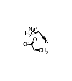 C=CC#N.C=CC(=O)[O-].[Na+]